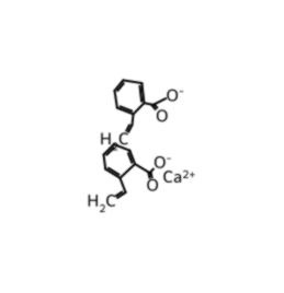 C=Cc1ccccc1C(=O)[O-].C=Cc1ccccc1C(=O)[O-].[Ca+2]